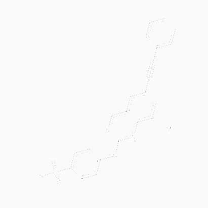 COc1cc(C#Cc2ccccc2)cc2cnc(Nc3ccc(S(N)(=O)=O)cc3)nc12